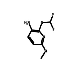 COc1ccc(N)c(OC(F)F)n1